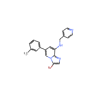 FC(F)(F)c1cccc(-c2cc(NCc3ccncc3)c3ncc(Br)n3c2)c1